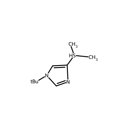 C[SH](C)c1cn(C(C)(C)C)cn1